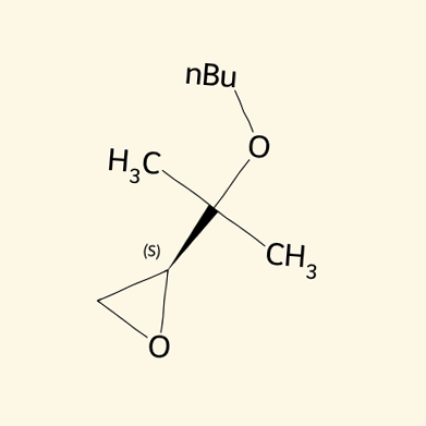 CCCCOC(C)(C)[C@@H]1CO1